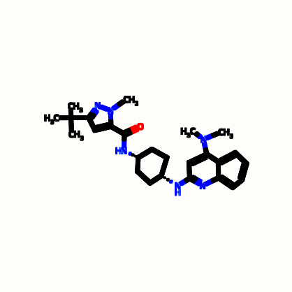 CN(C)c1cc(N[C@H]2CC[C@@H](NC(=O)c3cc(C(C)(C)C)nn3C)CC2)nc2ccccc12